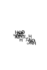 C[C@@H]1NC(=O)N[C@@H]1CCCCC(NC(=O)OC(C)(C)C)C(=O)O